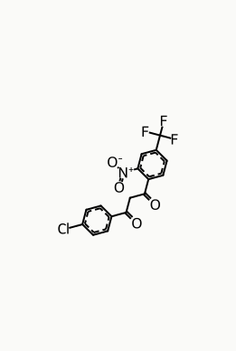 O=C(CC(=O)c1ccc(C(F)(F)F)cc1[N+](=O)[O-])c1ccc(Cl)cc1